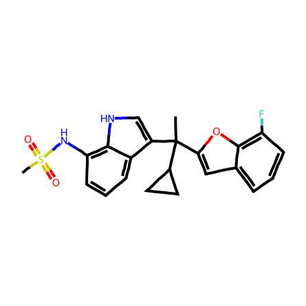 CC(c1cc2cccc(F)c2o1)(c1c[nH]c2c(NS(C)(=O)=O)cccc12)C1CC1